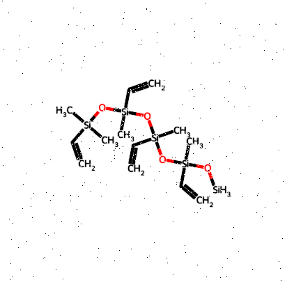 C=C[Si](C)(C)O[Si](C)(C=C)O[Si](C)(C=C)O[Si](C)(C=C)O[SiH3]